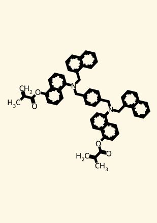 C=C(C)C(=O)Oc1cccc2c(N(Cc3ccc(CN(Cc4cccc5ccccc45)c4cccc5c(OC(=O)C(=C)C)cccc45)cc3)Cc3cccc4ccccc34)cccc12